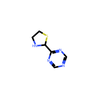 c1ncnc(C2NCCS2)n1